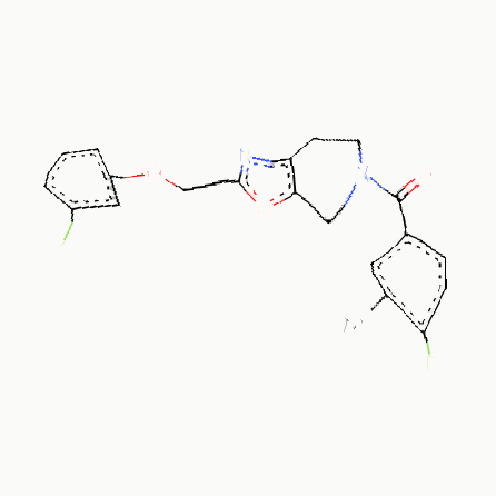 N#Cc1cc(C(=O)N2CCc3nc(COc4cccc(F)c4)oc3C2)ccc1F